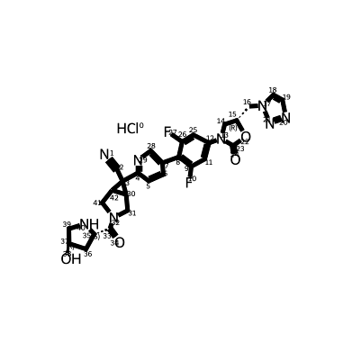 Cl.N#CC1(c2ccc(-c3c(F)cc(N4C[C@H](Cn5ccnn5)OC4=O)cc3F)cn2)C2CN(C(=O)[C@@H]3C[C@@H](O)CN3)CC21